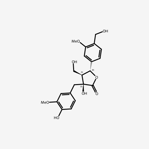 COc1cc(C[C@@]2(O)C(=O)O[C@@H](c3ccc(CO)c(OC)c3)[C@@H]2CO)ccc1O